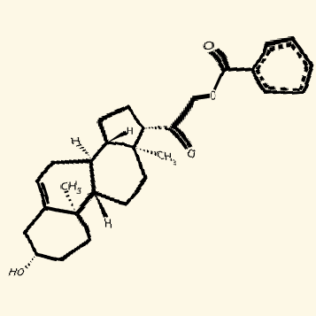 C[C@]12CC[C@H]3[C@@H](CC=C4C[C@@H](O)CC[C@@]43C)[C@@H]1CC[C@@H]2C(=O)COC(=O)c1ccccc1